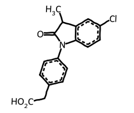 CC1C(=O)N(c2ccc(CC(=O)O)cc2)c2ccc(Cl)cc21